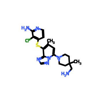 Cc1cc(N2CCC(C)(CN)CC2)n2ncnc2c1Sc1ccnc(N)c1Cl